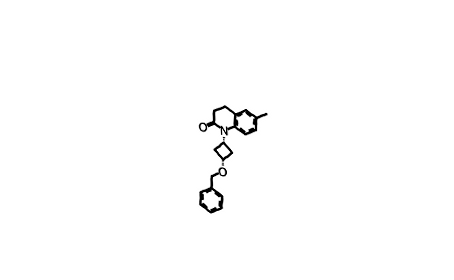 Cc1ccc2c(c1)CCC(=O)N2[C@H]1C[C@@H](OCc2ccccc2)C1